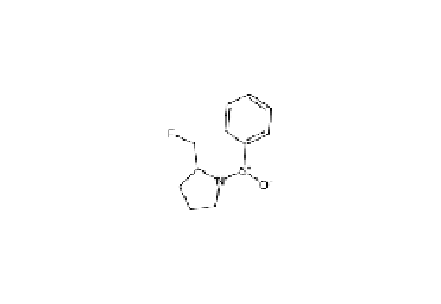 [O-][S+](c1ccccc1)N1CCCC1CF